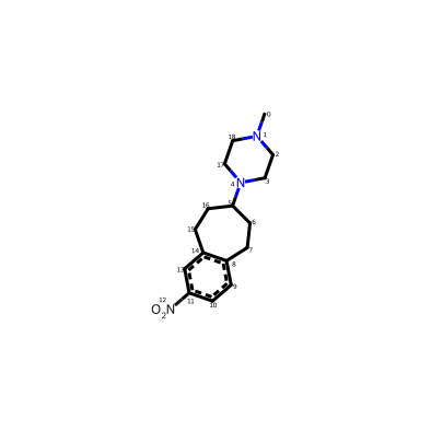 CN1CCN(C2CCc3ccc([N+](=O)[O-])cc3CC2)CC1